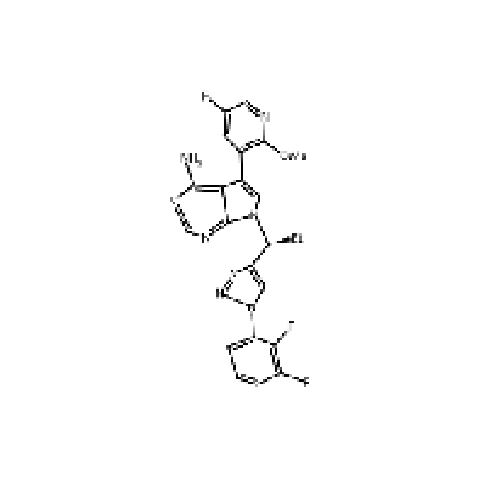 CC[C@@H](c1cn(-c2cccc(F)c2F)nn1)n1cc(-c2cc(F)cnc2OC)c2c(N)ncnc21